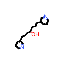 OC(CC=Cc1cccnc1)CC=Cc1cccnc1